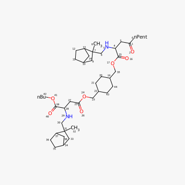 CCCCCC(=O)CC(NCC1(C)CC2CCC1C2)C(=O)OCC1CCC(COC(=O)CC(NCC2(C)CC3CCC2C3)C(=O)OCCCC)CC1